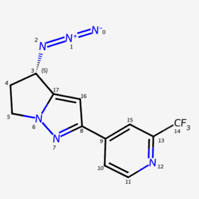 [N-]=[N+]=N[C@H]1CCn2nc(-c3ccnc(C(F)(F)F)c3)cc21